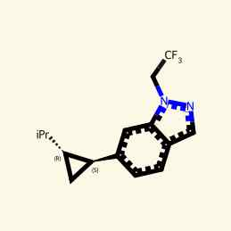 CC(C)[C@H]1C[C@@H]1c1ccc2cnn(CC(F)(F)F)c2c1